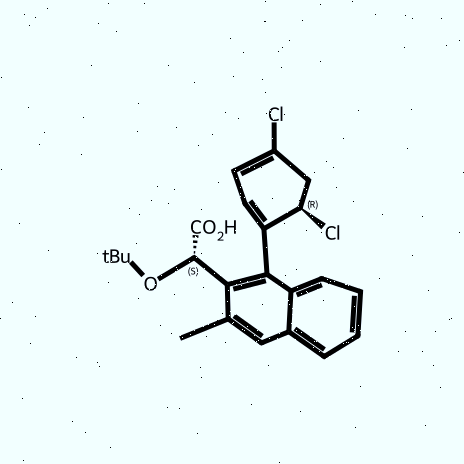 Cc1cc2ccccc2c(C2=CC=C(Cl)C[C@H]2Cl)c1[C@H](OC(C)(C)C)C(=O)O